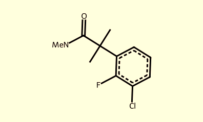 CNC(=O)C(C)(C)c1cccc(Cl)c1F